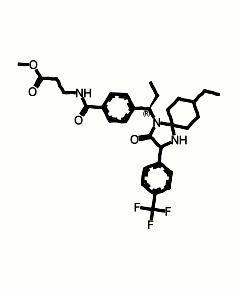 CCC1CCC2(CC1)NC(c1ccc(C(F)(F)F)cc1)C(=O)N2[C@H](CC)c1ccc(C(=O)NCCC(=O)OC)cc1